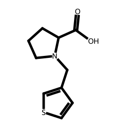 O=C(O)C1CCCN1Cc1ccsc1